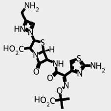 CC(C)(O/N=C(\C(=O)NC1C(=O)N2C(C(=O)O)C(n3cc(CN)[nH]3)S[C@H]12)c1csc(N)n1)C(=O)O